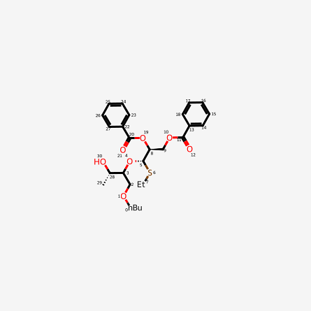 CCCCOCC(O[C@@H](SCC)[C@H](COC(=O)c1ccccc1)OC(=O)c1ccccc1)[C@H](C)O